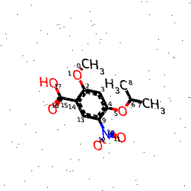 COc1cc(OC(C)C)c([N+](=O)[O-])cc1C(=O)O